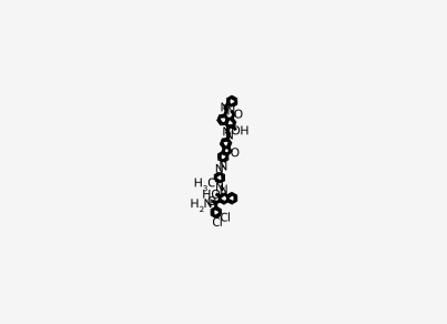 Cc1cc(N=Nc2ccc3c(c2)C(=O)c2cc(N=Nc4c(O)cc5c(=O)n6c7ccccc7nc6c6cccc4c56)ccc2-3)ccc1N=Nc1c(O)c(C(ON)c2ccc(Cl)c(Cl)c2)cc2ccccc12